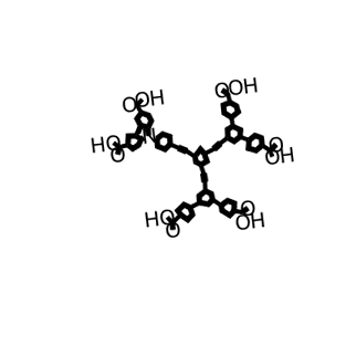 O=C(O)c1ccc(-c2cc(C#Cc3cc(C#Cc4ccc(-n5c6ccc(C(=O)O)cc6c6cc(C(=O)O)ccc65)cc4)cc(C#Cc4cc(-c5ccc(C(=O)O)cc5)cc(-c5ccc(C(=O)O)cc5)c4)c3)cc(-c3ccc(C(=O)O)cc3)c2)cc1